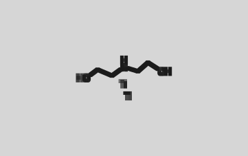 OCCNCCO.[Ti].[Ti]